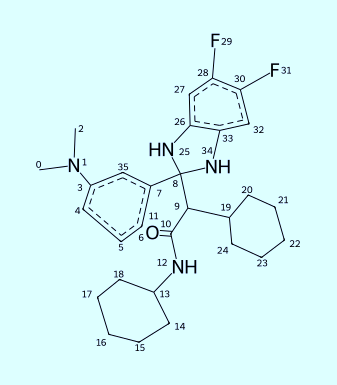 CN(C)c1cccc(C2(C(C(=O)NC3CCCCC3)C3CCCCC3)Nc3cc(F)c(F)cc3N2)c1